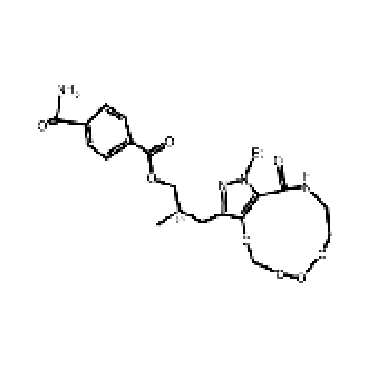 CCn1nc(C[C@@H](C)COC(=O)c2ccc(C(N)=O)cc2)c2c1C(=O)NCCCOCCC2